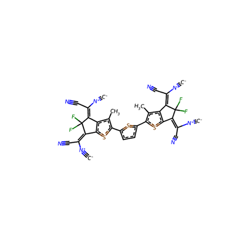 [C-]#[N+]/C(C#N)=C1/c2c(sc(-c3ccc(-c4sc5c(c4C)/C(=C(/C#N)[N+]#[C-])C(F)(F)/C5=C(\C#N)[N+]#[C-])s3)c2C)/C(=C(\C#N)[N+]#[C-])C1(F)F